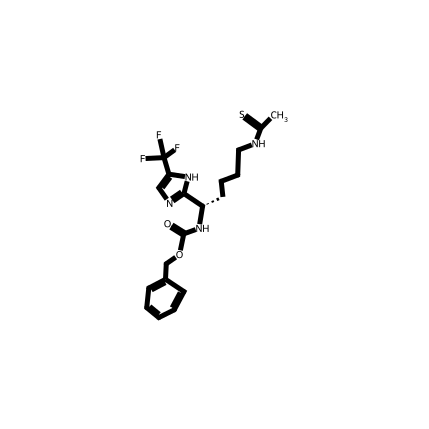 CC(=S)NCCCC[C@H](NC(=O)OCc1ccccc1)c1ncc(C(F)(F)F)[nH]1